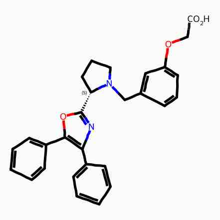 O=C(O)COc1cccc(CN2CCC[C@H]2c2nc(-c3ccccc3)c(-c3ccccc3)o2)c1